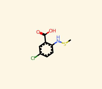 CSNc1ccc(Cl)cc1C(=O)O